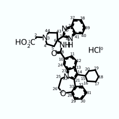 Cl.O=C(O)CN1CCC(NC(=O)c2ccc3c(C4CCCCC4)c4n(c3c2)CCOc2ccccc2-4)(c2nc3ccccc3[nH]2)CC1